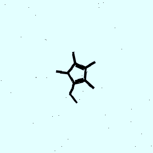 CCC1=C(C)C(C)=C(C)C1C